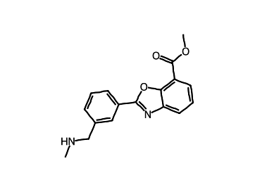 CNCc1cccc(-c2nc3cccc(C(=O)OC)c3o2)c1